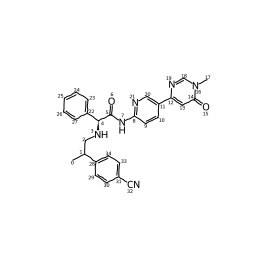 CC(CN[C@H](C(=O)Nc1ccc(-c2cc(=O)n(C)cn2)cn1)c1ccccc1)c1ccc(C#N)cc1